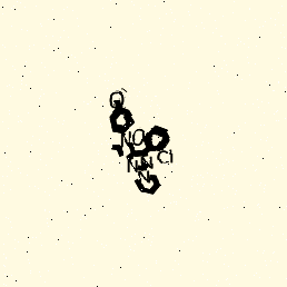 COc1ccc(N(C(=O)c2cnc(N3CCCCC3)nc2-c2ccccc2Cl)C(C)C)cc1